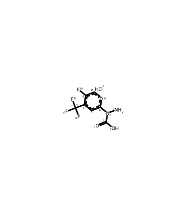 Cl.NN(C(=O)O)c1cc(C(F)(F)F)c(F)cn1